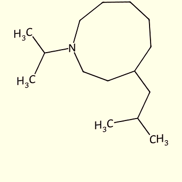 CC(C)CC1CCCCCN(C(C)C)CC1